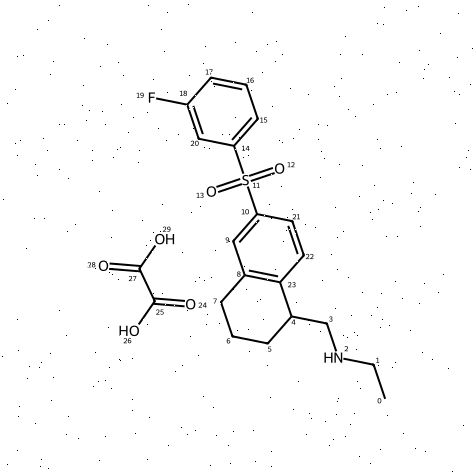 CCNCC1CCCc2cc(S(=O)(=O)c3cccc(F)c3)ccc21.O=C(O)C(=O)O